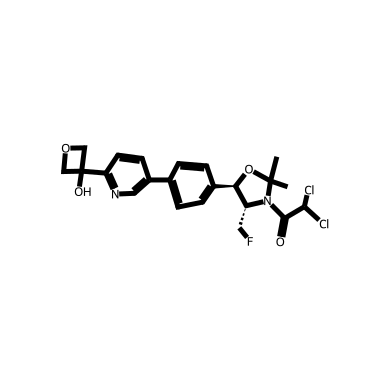 CC1(C)O[C@H](c2ccc(-c3ccc(C4(O)COC4)nc3)cc2)[C@@H](CF)N1C(=O)C(Cl)Cl